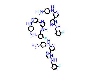 N[C@H]1CC[C@H](Nc2cc(-c3cc(NCc4cccc(F)c4)ccn3)ccn2)CC1.N[C@H]1CC[C@H](Nc2cc(-c3ccnc(NCc4cccc(F)c4)n3)ccn2)CC1.N[C@H]1CC[C@H](Nc2cc(-c3nccc(NCc4cccc(F)c4)n3)ccn2)CC1